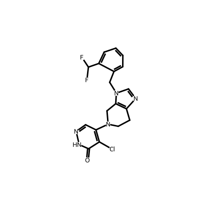 O=c1[nH]ncc(N2CCc3ncn(Cc4ccccc4C(F)F)c3C2)c1Cl